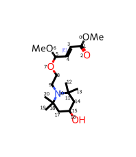 COC(=O)/C=C/C(OC)OCCN1C(C)(C)CC(O)CC1(C)C